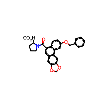 O=C(O)[C@@H]1CCCN1C(=O)c1cc2cc3c(cc2c2cc(OCc4ccccc4)ccc12)OCO3